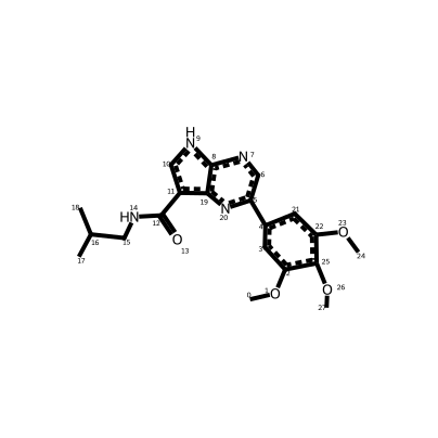 COc1cc(-c2cnc3[nH]cc(C(=O)NCC(C)C)c3n2)cc(OC)c1OC